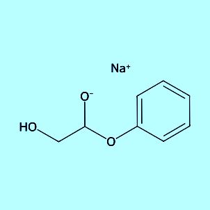 [Na+].[O-]C(CO)Oc1ccccc1